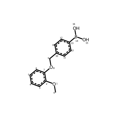 COc1ccccc1OCc1ccc(B(O)O)cc1